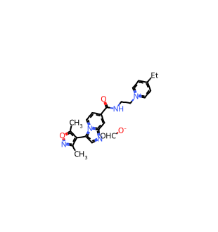 CCc1cc[n+](CCNC(=O)c2ccn3c(-c4c(C)noc4C)cnc3c2)cc1.O=C[O-]